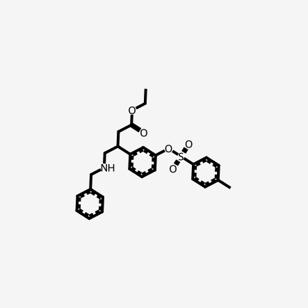 CCOC(=O)CC(CNCc1ccccc1)c1cccc(OS(=O)(=O)c2ccc(C)cc2)c1